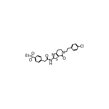 CCS(=O)(=O)c1ccc(CC(=O)Nc2nc3c(s2)C(=O)N(CCc2ccc(Cl)cc2)CC3)cc1